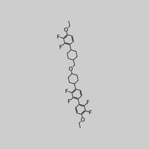 CCOc1ccc(-c2ccc(C3CCC(OCC4CCC(c5ccc(OCC)c(F)c5F)CC4)CC3)c(F)c2F)c(F)c1F